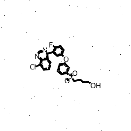 O=S(=O)(CCCCO)c1cccc(Oc2ccc(F)c(-c3ncnc4c(Cl)cccc34)c2)c1